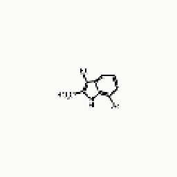 CCc1c(C(=O)O)[nH]c2c(C(C)=O)cccc12